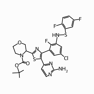 CC(C)(C)OC(=O)N1CCOCC1c1nc(-c2cc(Cl)cc(NSc3cc(F)ccc3F)c2F)c(-c2ccnc(N)n2)s1